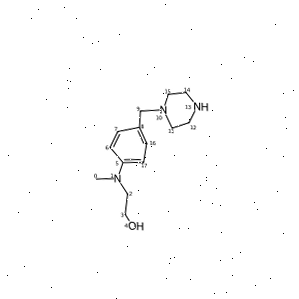 CN(CCO)c1ccc(CN2CCNCC2)cc1